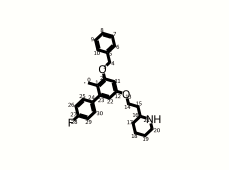 [CH2]c1c(OCc2ccccc2)cc(OCCC2CCCCN2)cc1-c1ccc(F)cc1